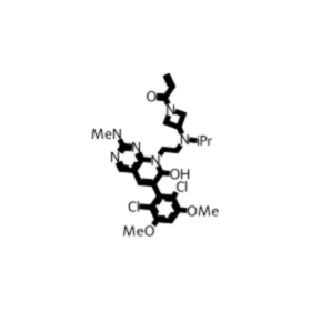 C=CC(=O)N1CC(N(CCN2c3nc(NC)ncc3C=C(c3c(Cl)c(OC)cc(OC)c3Cl)C2O)C(C)C)C1